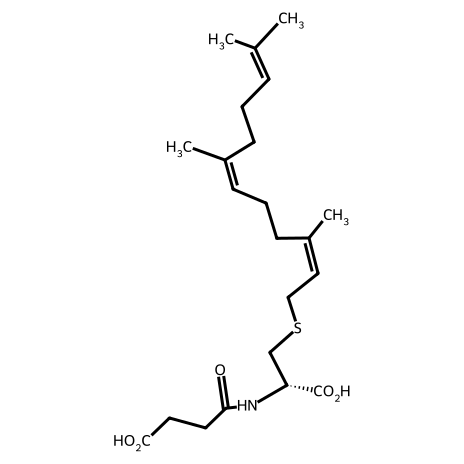 CC(C)=CCCC(C)=CCCC(C)=CCSC[C@@H](NC(=O)CCC(=O)O)C(=O)O